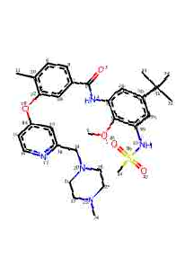 COc1c(NC(=O)c2ccc(C)c(Oc3ccnc(CN4CCN(C)CC4)c3)c2)cc(C(C)(C)C)cc1NS(C)(=O)=O